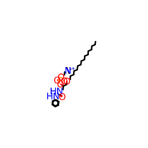 CCCCCCCCCCCCCCCCOCC(CNC(=O)Nc1ccccc1)OP(=O)([O-])OCC[N+](C)(C)C